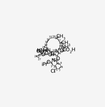 CC(C)Oc1cc2c(Cl)cccc2c(O[C@@H]2C[C@H]3C(=O)N[C@]4(C(=O)NS(=O)(=O)C5CC5)CC4/C=C\CC[C@@H](C)C[C@@H](C)[C@H](NC(=O)O)C(=O)N3C2)n1